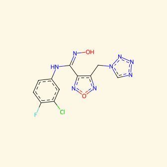 O/N=C(/Nc1ccc(F)c(Cl)c1)c1nonc1Cn1cnnn1